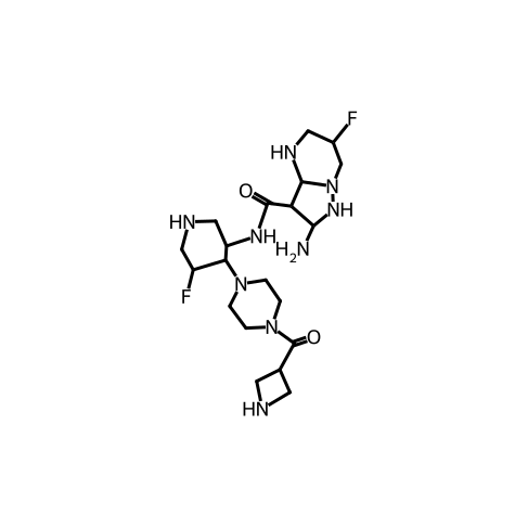 NC1NN2CC(F)CNC2C1C(=O)NC1CNCC(F)C1N1CCN(C(=O)C2CNC2)CC1